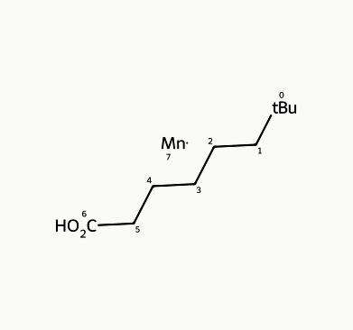 CC(C)(C)CCCCCC(=O)O.[Mn]